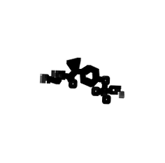 CC(C)CNC(=O)C1(c2ccc(OS(=O)(=O)C(F)(F)F)cc2)CC1